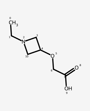 CCN1CC(OCC(=O)O)C1